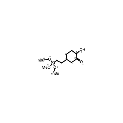 CCCCO[Si](CCC1CCC(O)C(=O)C1)(OC)OCCCC